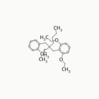 CCCCC(C)(Cc1ccccc1OC)Cc1c(OCC)cccc1OCC